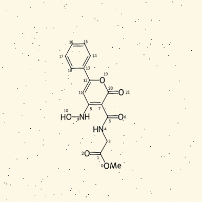 COC(=O)CNC(=O)c1c(NO)cc(-c2ccccc2)oc1=O